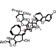 COC(=O)NC1C(=O)C[C@H](O)/C(=C/CS(C)(=S)=S)C2=C1C#C/C=C\C#C[C@@H]2OC1OC(C)C(SC)(C(=O)c2nccc3c2oc2ccc(O)cc23)C(O)C1OC1CC(OC)C(NC(C)C)CO1